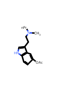 CCCN(C)CCc1c[nH]c2ccc(OC(C)=O)cc12